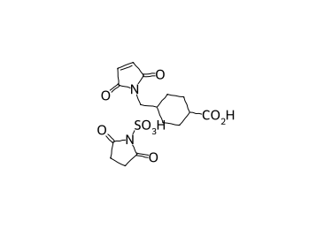 O=C(O)C1CCC(CN2C(=O)C=CC2=O)CC1.O=C1CCC(=O)N1S(=O)(=O)O